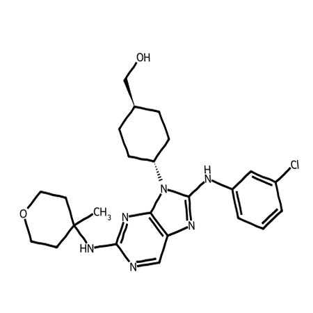 CC1(Nc2ncc3nc(Nc4cccc(Cl)c4)n([C@H]4CC[C@H](CO)CC4)c3n2)CCOCC1